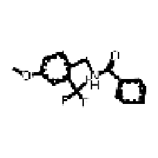 COc1ccc(CNC(=O)c2ccccc2)c(C(F)(F)F)c1